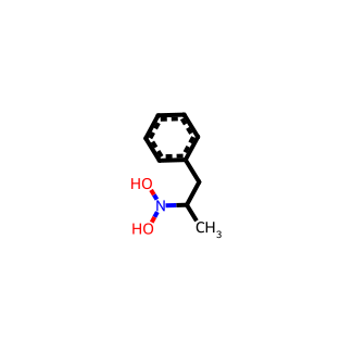 CC(Cc1ccccc1)N(O)O